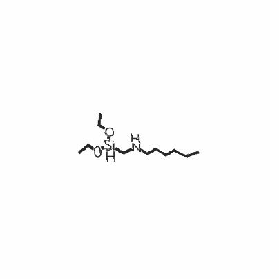 CCCCCCNC[SiH](OCC)OCC